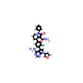 NC(=O)c1c2n(n(-c3ccccc3)c1=O)CCCC2c1ccc(-c2cn(C3CCOC3)c3ncnc(N)c23)c(F)c1